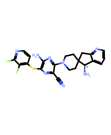 N#Cc1nc(Sc2ccnc(F)c2F)c(N)nc1N1CCC2(CC1)Cc1ncccc1[C@H]2N